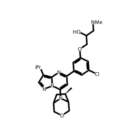 CNCC(O)COc1cc(Cl)cc(-c2cc(N3C4COCC3[C@H](C)C4)n3ncc(C(C)C)c3n2)c1